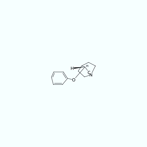 c1ccc(O[C@H]2CN3CCC2CC3)cc1